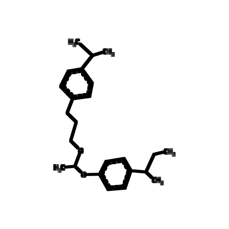 CCC(C)c1ccc(OC(C)OCCCc2ccc(C(C)C)cc2)cc1